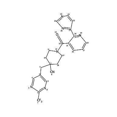 N#CC1(Cc2cnc(C(F)(F)F)nc2)CCN(C(=O)c2cccnc2-c2ccncn2)CC1